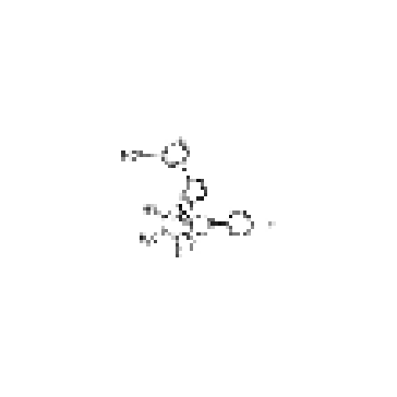 C#Cc1cncc(-c2ccc([C@]34CN(c5ccc(F)cc5)C[C@H]3C(=O)N(C)C(=N)N4)s2)c1